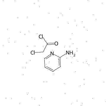 Nc1ccccn1.O=C(Cl)CCl